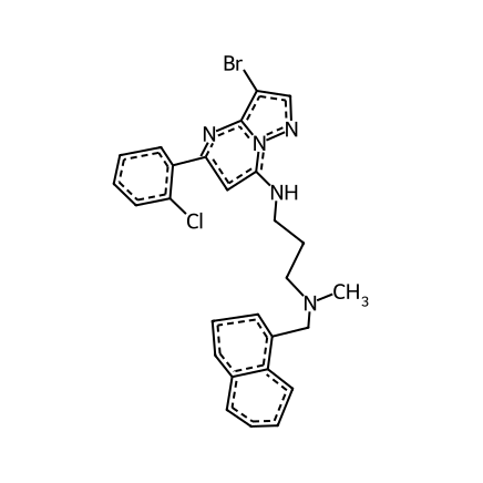 CN(CCCNc1cc(-c2ccccc2Cl)nc2c(Br)cnn12)Cc1cccc2ccccc12